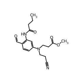 CCCC(=O)Nc1cc(N(CCC#N)CCC(=O)OC)ccc1C=O